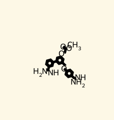 COC(=O)COc1cc(COc2ccc(C(=N)N)cc2)cc(-c2cccc(C(=N)N)c2)c1